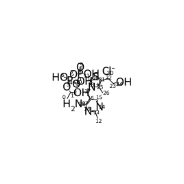 CC(O)OP(=O)(O)OP(=O)(O)O.Cc1ncc(C[n+]2csc(CCO)c2C)c(N)n1.[Cl-]